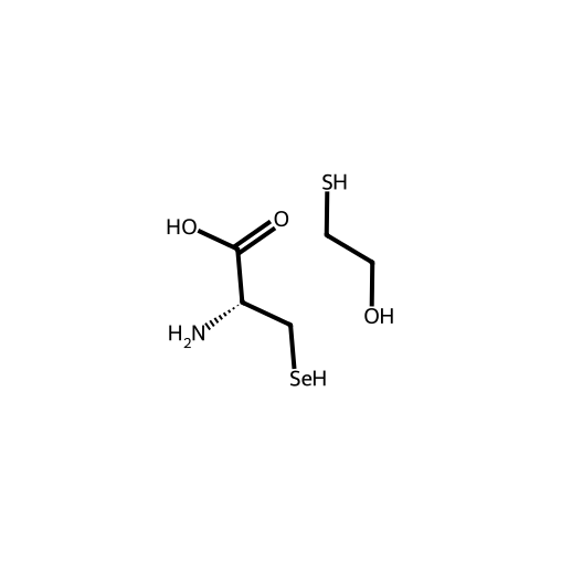 N[C@@H](C[SeH])C(=O)O.OCCS